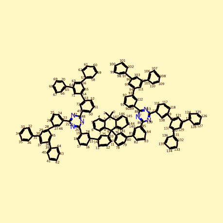 CC1(C)c2ccccc2C(c2cccc(-c3cccc(-c4nc(-c5cccc(-c6cc(-c7ccccc7)cc(-c7ccccc7)c6)c5)nc(-c5cccc(-c6cc(-c7ccccc7)cc(-c7ccccc7)c6)c5)n4)c3)c2)(c2cccc(-c3cccc(-c4nc(-c5cccc(-c6cc(-c7ccccc7)cc(-c7ccccc7)c6)c5)nc(-c5cccc(-c6cc(-c7ccccc7)cc(-c7ccccc7)c6)c5)n4)c3)c2)c2ccccc21